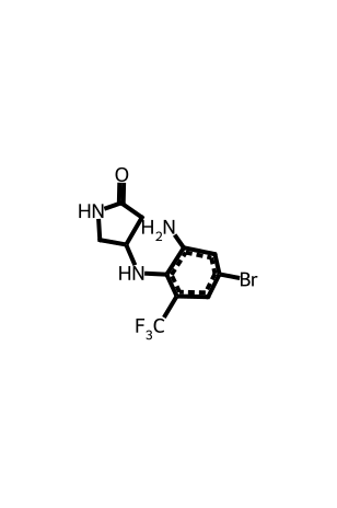 Nc1cc(Br)cc(C(F)(F)F)c1NC1CNC(=O)C1